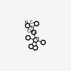 Cc1ccccc1N(c1ccc(-c2nc(-c3ccccc3)c3c(c2-c2ccccc2)-c2cccc4cccc-3c24)cc1)c1ccccc1C